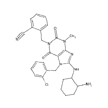 Cn1c(=O)n(Cc2ccccc2C#N)c(=O)c2c1nc(NC1CCCCC1N)n2Cc1ccccc1Cl